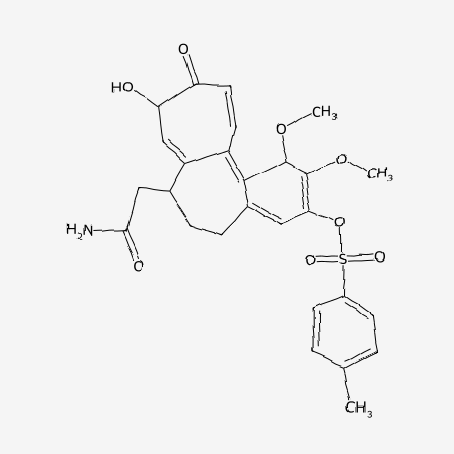 COC1=C(OS(=O)(=O)c2ccc(C)cc2)C=C2CCC(CC(N)=O)C3=CC(O)C(=O)C=CC3=C2C1OC